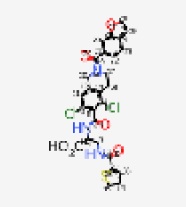 O=C(NCC(NC(=O)c1c(Cl)cc2c(c1Cl)CCN(C(=O)c1ccc3ccoc3c1)C2)C(=O)O)c1cccs1